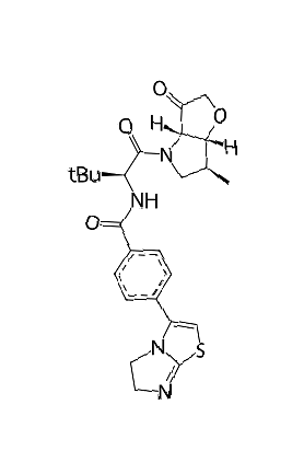 C[C@H]1CN(C(=O)[C@@H](NC(=O)c2ccc(C3=CSC4=NCCN34)cc2)C(C)(C)C)[C@@H]2C(=O)CO[C@@H]21